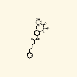 CC(C)C1C(=O)N[C@H](CO)Cc2ccc(NC(=O)CCCCc3ccccc3)cc2N1C